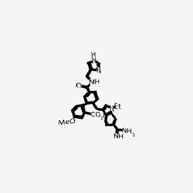 CCn1cc(Cc2ccc(C(=O)NCc3c[nH]cn3)cc2-c2ccc(OC)cc2C(=O)O)c2ccc(C(=N)N)cc21